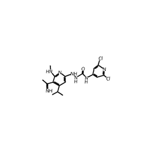 CNc1nc(NNC(=O)Nc2cc(Cl)nc(Cl)c2)cc(C(C)C)c1C(C)=N